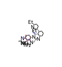 C=C(N)/N=C(C)\C(C#N)=C(/C)N(CCC)CC1=Nc2cccc(-c3ccc(CC)nc3)c2/C(=C\CC)N1c1ccccc1